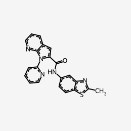 Cc1nc2cc(NC(=O)c3cc4cccnc4n3-c3ccccn3)ccc2s1